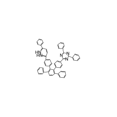 N=C(/C=C\C(=N)c1ccc(-c2c(-c3ccccc3)ccc(-c3ccccc3)c2-c2ccc(-c3nc(-c4ccccc4)nc(-c4ccccc4)n3)cc2)cc1)c1ccccc1